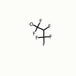 [O]C(F)(F)[C](F)C(F)(F)F